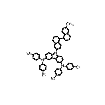 CCc1ccc(N(c2ccc(CC)cc2)c2ccc3c(c2)c2cc(N(c4ccc(CC)cc4)c4ccc(CC)cc4)ccc2n3-c2ccc3c(-c4cccc5cc(C)ccc45)cccc3c2)cc1